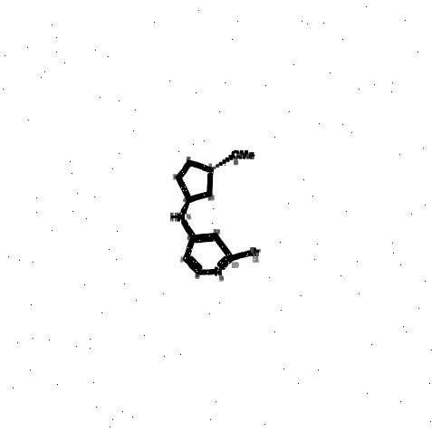 CO[C@H]1CC[C@H](Nc2ccnc(Br)c2)C1